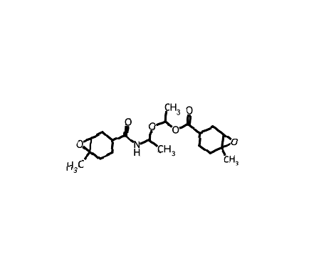 CC(NC(=O)C1CCC2(C)OC2C1)OC(C)OC(=O)C1CCC2(C)OC2C1